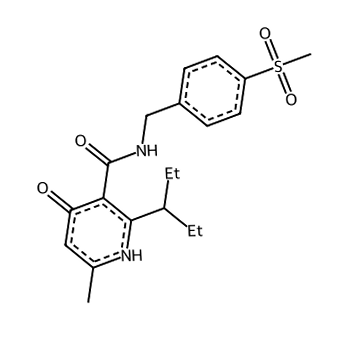 CCC(CC)c1[nH]c(C)cc(=O)c1C(=O)NCc1ccc(S(C)(=O)=O)cc1